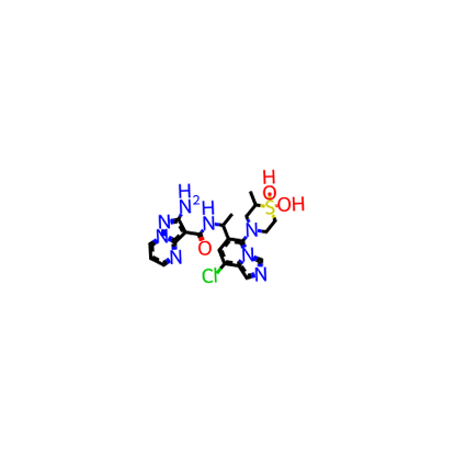 CC(NC(=O)c1c(N)nn2cccnc12)c1cc(Cl)c2cncn2c1N1CCS(O)(O)C(C)C1